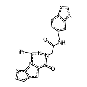 CC(C)c1nn(CC(=O)Nc2ccc3scnc3c2)c(=O)c2cc3ccsc3n12